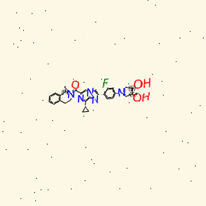 C[C@@H]1c2ccccc2CCN1C(=O)c1cn2cc(-c3ccc(N4C[C@H](O)[C@@H](O)C4)cc3F)nc2c(C2CC2)n1